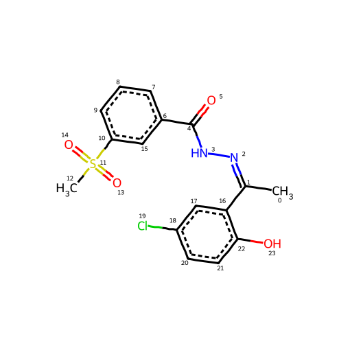 CC(=NNC(=O)c1cccc(S(C)(=O)=O)c1)c1cc(Cl)ccc1O